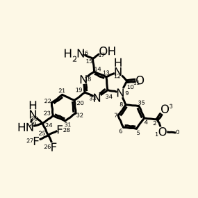 COC(=O)c1cccc(-n2c(=O)[nH]c3c(C(N)O)nc(-c4ccc(C5(C(F)(F)F)NN5)cc4)nc32)c1